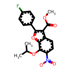 COC(=O)c1c(-c2ccc(F)cc2)oc2c(OC(C)C)c([N+](=O)[O-])ccc12